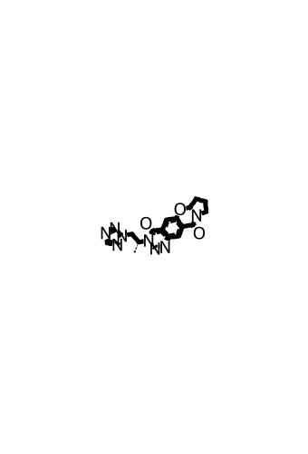 C[C@H](Cn1ncnn1)n1nnc2cc3c(cc2c1=O)OC1CCCN1C3=O